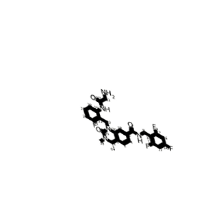 C[C@H]1c2ccc(C(=O)NCc3c(F)cc(F)cc3F)cc2N(Cc2c(F)cccc2NC(=O)CN)C(=O)N1C